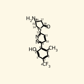 Cc1cc(C(F)(F)F)cc(O)c1-c1ccc(N2C[C@@H](N)CC2=O)nn1